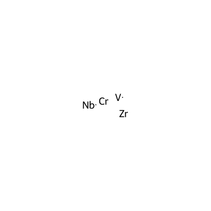 [Cr].[Nb].[V].[Zr]